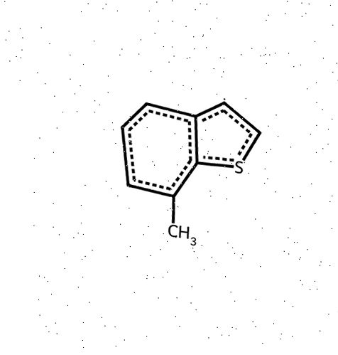 Cc1cccc2[c]csc12